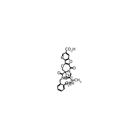 COc1ccccc1CNC(=O)C1(C)COc2c(oc3cc(C(=O)O)cnc23)C(=O)N1CC(=O)N(C)C